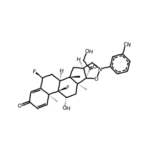 C[C@]12C[C@H](O)[C@@]3(F)[C@@H](C[C@H](F)C4=CC(=O)C=C[C@@]43C)[C@]1(C)C[C@H]1CN(c3cccc(C#N)c3)O[C@]12C(=O)CO